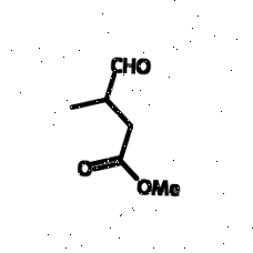 COC(=O)CC(C)C=O